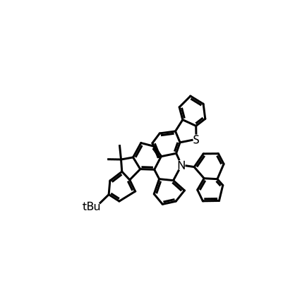 CC(C)(C)c1ccc2c(c1)C(C)(C)c1cccc(-c3ccccc3N(c3cccc4ccccc34)c3cccc4c3sc3ccccc34)c1-2